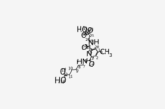 Cc1cc(C(=O)NCCCCCC(=O)O)nc(C(=O)NCCS(=O)(=O)O)c1